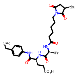 CC(=O)OCc1ccc(NC(=O)[C@H](CCC(=O)O)NC(=O)[C@@H](NC(=O)CCCCCN2C(=O)CC(C(C)(C)C)C2=O)C(C)C)cc1